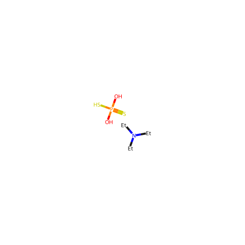 CCN(CC)CC.OP(O)(=S)S